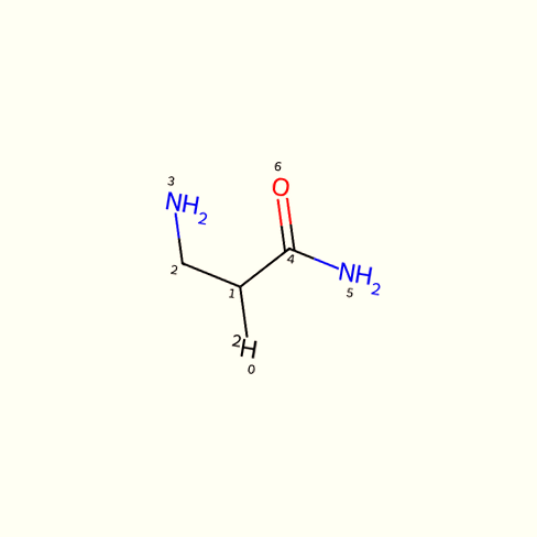 [2H]C(CN)C(N)=O